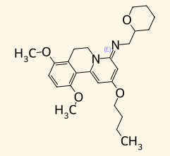 CCCCOc1cc2n(/c(=N/CC3CCCCO3)c1)CCc1c(OC)ccc(OC)c1-2